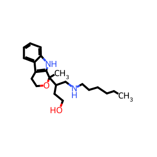 CCCCCCNCC(CCO)C1(C)OCCc2c1[nH]c1ccccc21